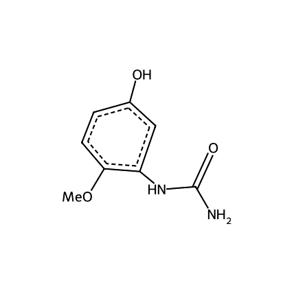 COc1ccc(O)cc1NC(N)=O